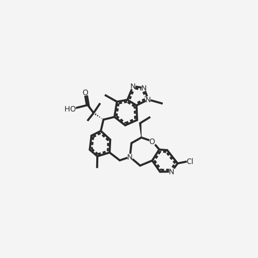 CC[C@@H]1CN(Cc2cc([C@@H](c3ccc4c(nnn4C)c3C)C(C)(C)C(=O)O)ccc2C)Cc2cnc(Cl)cc2O1